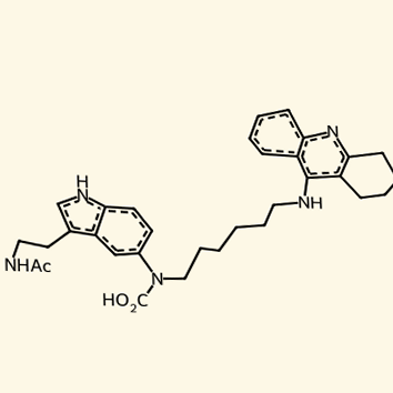 CC(=O)NCCc1c[nH]c2ccc(N(CCCCCCNc3c4c(nc5ccccc35)CCCC4)C(=O)O)cc12